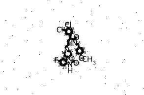 COc1ccc(CNC(=O)C(CCCN2CCC3(CC2)OC(=O)Nc2ccc(F)cc23)c2ccc(Cl)c(Cl)c2)cc1